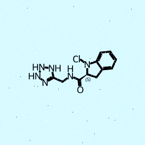 O=C(NCC1=NNNN1)[C@@H]1Cc2ccccc2N1Cl